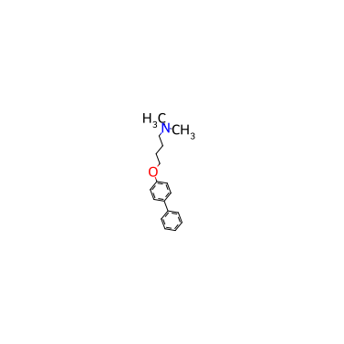 CN(C)CCCCOc1ccc(-c2ccccc2)cc1